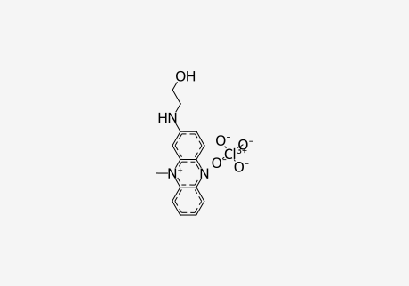 C[n+]1c2ccccc2nc2ccc(NCCO)cc21.[O-][Cl+3]([O-])([O-])[O-]